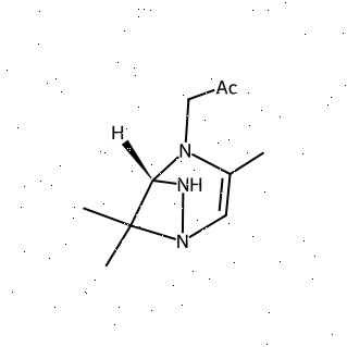 CC(=O)CN1C(C)=CN2N[C@@H]1C2(C)C